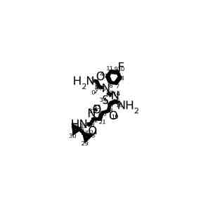 C[C@H](C(N)=O)N(c1ccc(F)cc1)c1nc(N)c(C(=O)c2cc(C(=O)NC3(C4CC4)CC3)no2)s1